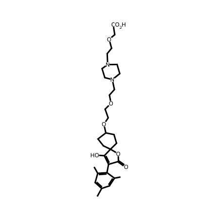 Cc1cc(C)c(C2=C(O)C3(CCC(OCCOCCN4CCN(CCOCC(=O)O)CC4)CC3)OC2=O)c(C)c1